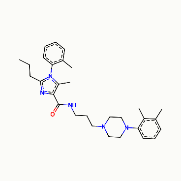 CCCc1nc(C(=O)NCCCN2CCN(c3cccc(C)c3C)CC2)c(C)n1-c1ccccc1C